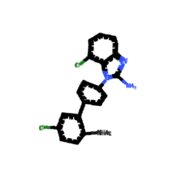 CC(=O)Nc1ccc(Cl)cc1-c1ccc(-n2c(N)nc3cccc(Cl)c32)cc1